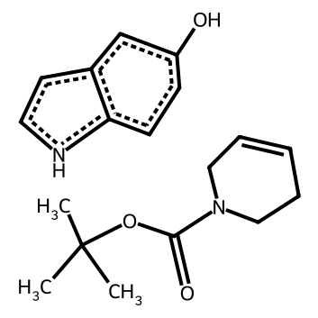 CC(C)(C)OC(=O)N1CC=CCC1.Oc1ccc2[nH]ccc2c1